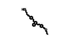 CCCCOC#Cc1ccc(/C=C/c2ccc(/C=C/c3ccc(C#CCCCCO)cc3)c3ccccc23)cc1